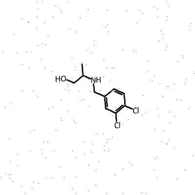 CC(CO)NCc1ccc(Cl)c(Cl)c1